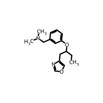 CCC(Cc1cocn1)Oc1cccc(CN(C)C)c1